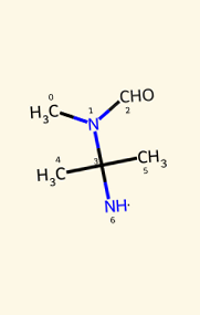 CN(C=O)C(C)(C)[NH]